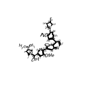 COc1cc(C(O)N2CC[C@H](N(C)C)C2)cnc1-c1cc2nccc(-c3ccc(N4CCC(F)C4)c(C#N)c3)c2o1